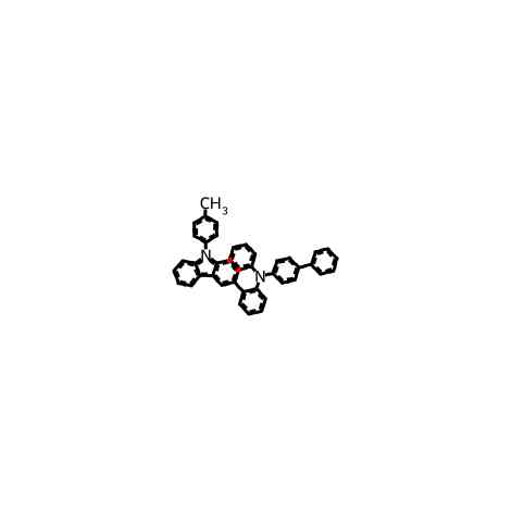 Cc1ccc(-n2c3ccccc3c3cc(-c4ccccc4N(c4ccccc4)c4ccc(-c5ccccc5)cc4)ccc32)cc1